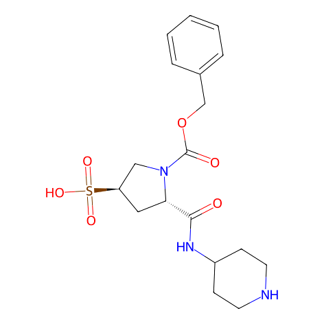 O=C(NC1CCNCC1)[C@@H]1C[C@@H](S(=O)(=O)O)CN1C(=O)OCc1ccccc1